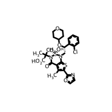 Cc1c(-c2ncco2)sc2c1C(=O)N(C(C)(C)C(=O)O)S(=O)(=O)N2C[C@H](OC1CCOCC1)c1ccccc1Cl